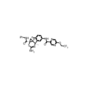 CC(C)NC(=O)[C@]12C[C@H]1[C@@](C)(c1cc(NC(=O)c3cnc(OCC(F)(F)F)cn3)ccc1F)N=C(N)S2